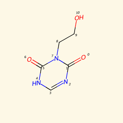 O=c1nc[nH]c(=O)n1CCO